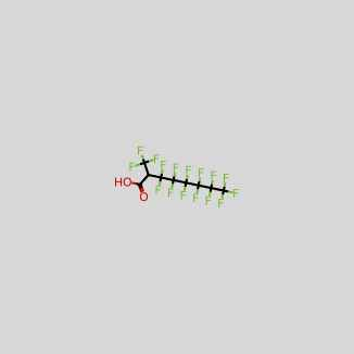 O=C(O)C(C(F)(F)F)C(F)(F)C(F)(F)C(F)(F)C(F)(F)C(F)(F)C(F)(F)F